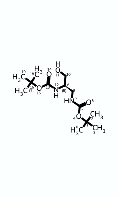 CC(C)(C)OC(=O)NC[C@H](CO)NC(=O)OC(C)(C)C